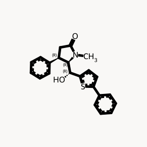 CN1C(=O)C[C@H](c2ccccc2)[C@@H]1[C@@H](O)c1ccc(-c2ccccc2)s1